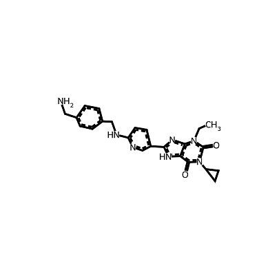 CCn1c(=O)n(C2CC2)c(=O)c2[nH]c(-c3ccc(NCc4ccc(CN)cc4)nc3)nc21